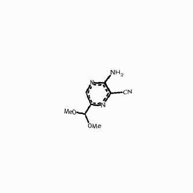 COC(OC)c1cnc(N)c(C#N)n1